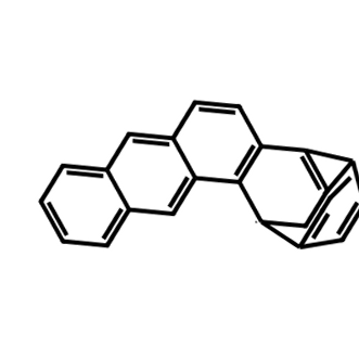 C1=C2c3ccc(cc3)[C](C1)c1c2ccc2cc3ccccc3cc12